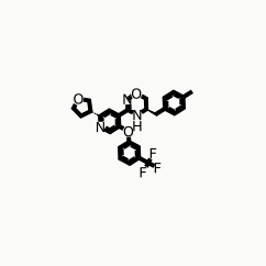 Cc1ccc(C[C@@H]2CON=C(c3cc([C@@H]4CCOC4)ncc3Oc3cccc(C(F)(F)F)c3)N2)cc1